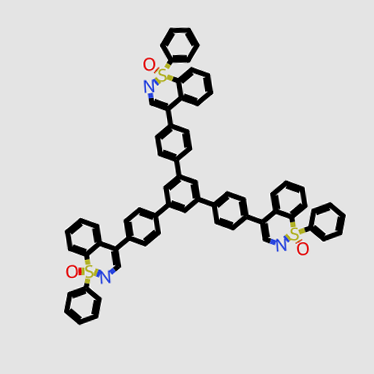 O=S1(c2ccccc2)=NC=C(c2ccc(-c3cc(-c4ccc(C5=CN=S(=O)(c6ccccc6)c6ccccc65)cc4)cc(-c4ccc(C5=CN=S(=O)(c6ccccc6)c6ccccc65)cc4)c3)cc2)c2ccccc21